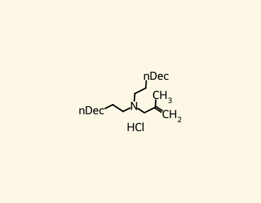 C=C(C)CN(CCCCCCCCCCCC)CCCCCCCCCCCC.Cl